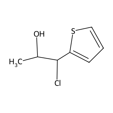 CC(O)C(Cl)c1cccs1